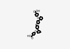 O=C(O)c1ccc(Oc2ccccc2-c2ccc(Oc3ccc(-c4ccccc4Oc4ccc(C(=O)O)cc4)cc3)cc2)cc1